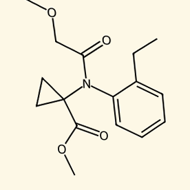 CCc1ccccc1N(C(=O)COC)C1(C(=O)OC)CC1